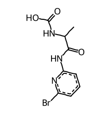 CC(NC(=O)O)C(=O)Nc1cccc(Br)n1